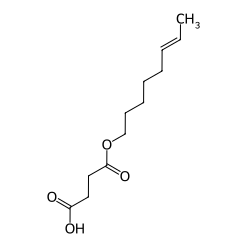 CC=CCCCCCOC(=O)CCC(=O)O